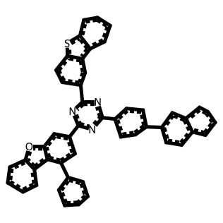 c1ccc(-c2cc(-c3nc(-c4ccc(-c5ccc6ccccc6c5)cc4)nc(-c4ccc5sc6ccccc6c5c4)n3)cc3oc4ccccc4c23)cc1